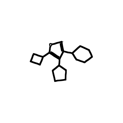 [c]1oc(C2CCC2)c(C2CCCC2)c1C1CCCCC1